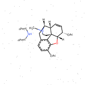 CC(=O)Oc1ccc2c3c1O[C@H]1[C@@H](OC(C)=O)C=C[C@H]4[C@@H](C2)N(C)CC[C@@]341.CCCCCNCCCCC